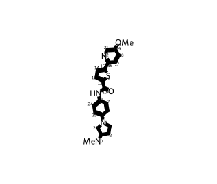 CNC1CCN(c2ccc(NC(=O)c3ccc(-c4ccc(OC)cn4)s3)cc2)C1